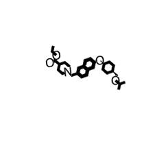 CCOC(=O)C1CCN(Cc2ccc3cc(O[C@H]4CC[C@H](COC(C)C)CC4)ccc3c2)CC1